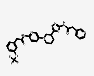 O=C(Cc1cccc(OC(F)(F)F)c1)Nc1ccc(N2CCCC(c3nnc(NC(=O)Cc4cccnc4)s3)C2)cn1